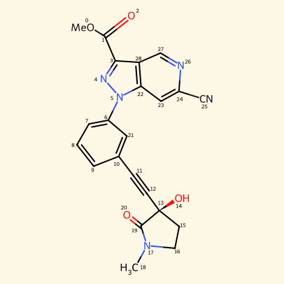 COC(=O)c1nn(-c2cccc(C#C[C@]3(O)CCN(C)C3=O)c2)c2cc(C#N)ncc12